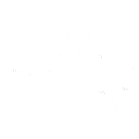 COCOc1cc(-c2cc3[nH]c(=O)[nH]c(=O)c3cn2)c2ccccc2c1